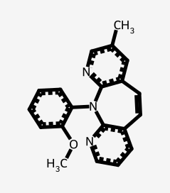 COc1ccccc1N1c2ncccc2C=Cc2cc(C)cnc21